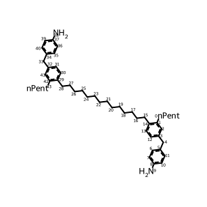 CCCCCc1cc(Cc2ccc(N)cc2)ccc1CCCCCCCCCCCCCCc1ccc(Cc2ccc(N)cc2)cc1CCCCC